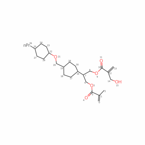 C=C(C)C(=O)OCC(COC(=O)C(=C)CO)C1CCC(COC2CCC(CCC)CC2)CC1